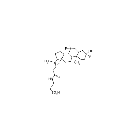 CC(CCC(=O)NCCS(=O)(=O)O)C1CCC2C3C(CCC12C)C1(C)CCC(O)(F)CC1CC3(F)F